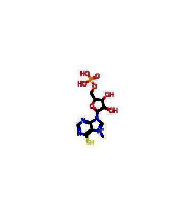 C[n+]1cn(C2OC(COP(=O)(O)O)C(O)C2O)c2ncnc(S)c21